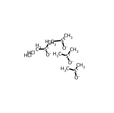 C[S+](C)[O-].C[S+](C)[O-].C[S+](C)[O-].C[S+](C)[O-].Cl.Cl